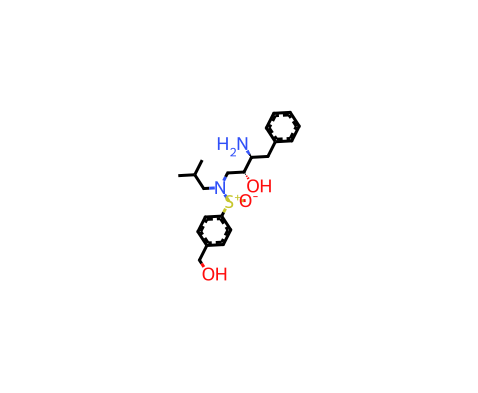 CC(C)CN(C[C@@H](O)[C@@H](N)Cc1ccccc1)[S+]([O-])c1ccc(CO)cc1